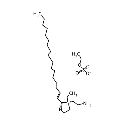 CCCCCCCCCCCCCCCC=CC1=NCC[N+]1(CC)CCN.CCOS(=O)(=O)[O-]